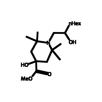 CCCCCCC(O)CN1C(C)(C)CC(O)(C(=O)OC)CC1(C)C